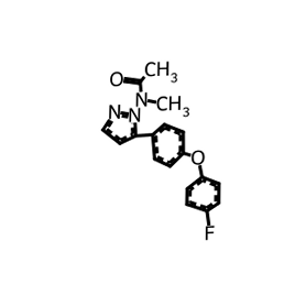 CC(=O)N(C)n1nccc1-c1ccc(Oc2ccc(F)cc2)cc1